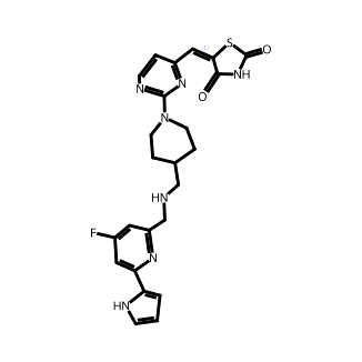 O=C1NC(=O)/C(=C\c2ccnc(N3CCC(CNCc4cc(F)cc(-c5ccc[nH]5)n4)CC3)n2)S1